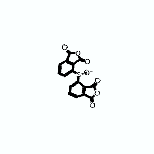 O=C1OC(=O)c2c1cccc2[S+]([O-])c1cccc2c1C(=O)OC2=O